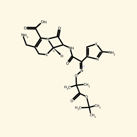 CC(C)(C)OC(=O)C(C)(C)O/N=C(\C(=O)NC1C(=O)N2C(C(=O)O)=C(CN)CS[C@@H]12)c1csc(N)n1